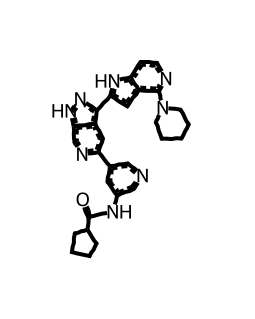 O=C(Nc1cncc(-c2cc3c(-c4cc5c(N6CCCCC6)nccc5[nH]4)n[nH]c3cn2)c1)C1CCCC1